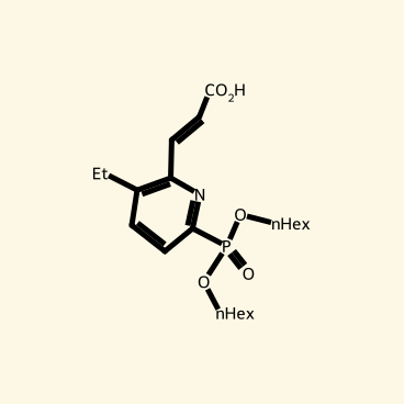 CCCCCCOP(=O)(OCCCCCC)c1ccc(CC)c(C=CC(=O)O)n1